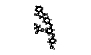 O=C(Nc1ncccc1O)N1CCC(=Cc2cccc(Oc3ccc(C(F)(F)F)cn3)c2)CC1.O=C(O)C(F)(F)F